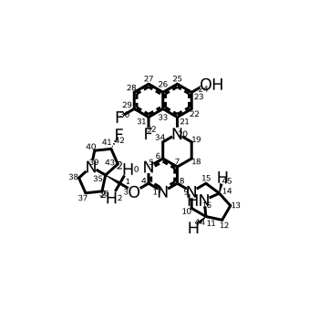 [2H]C([2H])(Oc1nc2c(c(N3C[C@H]4CC[C@@H](C3)N4)n1)CCN(c1cc(O)cc3ccc(F)c(F)c13)C2)[C@@]12CCCN1C[C@H](F)C2